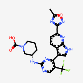 Cc1nc(-c2ccc3c(-c4nc(N[C@H]5CCCN(C(=O)O)C5)ncc4C(F)(F)F)c[nH]c3n2)no1